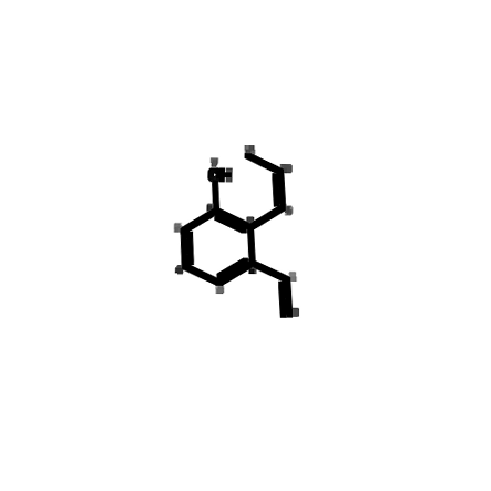 C=Cc1cccc(O)c1/C=C\C